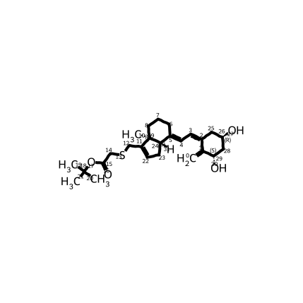 C=C1C(=CC=C2CCC[C@]3(C)C(CSCC(=O)OC(C)(C)C)=CC[C@@H]23)C[C@@H](O)C[C@@H]1O